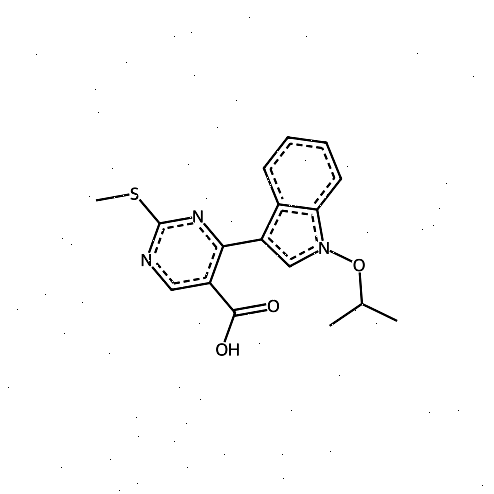 CSc1ncc(C(=O)O)c(-c2cn(OC(C)C)c3ccccc23)n1